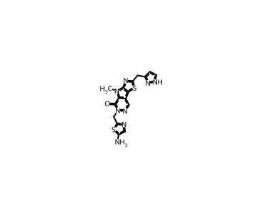 Cn1c2nc(Cc3cc[nH]n3)sc2c2cnn(Cc3ncc(N)s3)c(=O)c21